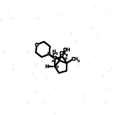 CC1(C)[C@@H]2CCC1(C)[C@H](O)[C@@H]2N1CCOCC1